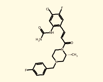 C[C@@H]1CN(Cc2ccc(F)cc2)CCN1C(=O)C=Cc1cc(F)c(Cl)cc1NC(N)=O